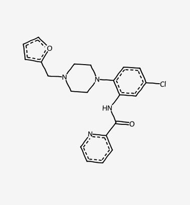 O=C(Nc1cc(Cl)ccc1N1CCN(Cc2ccco2)CC1)c1ccccn1